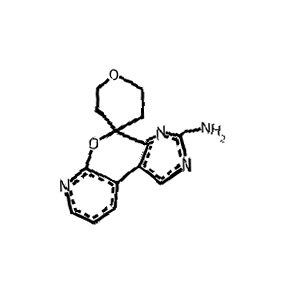 Nc1ncc2c(n1)C1(CCOCC1)Oc1ncccc1-2